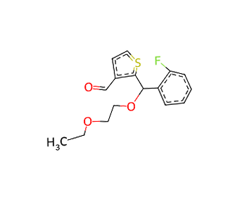 CCOCCOC(c1ccccc1F)c1sccc1C=O